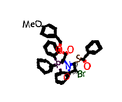 COc1ccc(COC(=O)C(N2C(=O)[C@H](Br)[C@H]2SC(=O)c2ccccc2)=P(c2ccccc2)(c2ccccc2)c2ccccc2)cc1